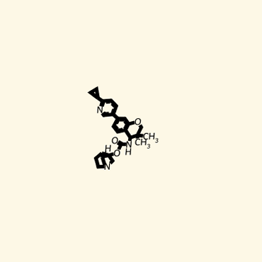 CC1(C)COc2cc(-c3ccc(C4CC4)nc3)ccc2C1NC(=O)O[C@H]1CN2CCC1CC2